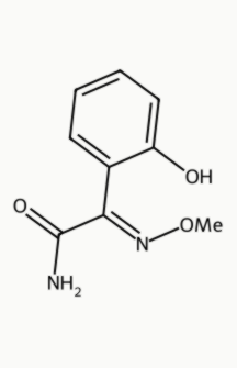 CO/N=C(/C(N)=O)c1ccccc1O